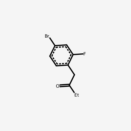 CCC(=O)Cc1ccc(Br)cc1F